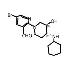 O=Cc1cc(Br)cnc1N1CC[C@@H](NC2CCCCC2)[C@H](O)C1